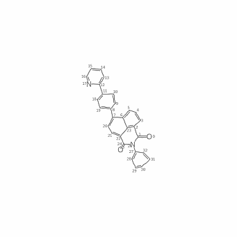 O=C1c2cccc3c(-c4ccc(-c5ccccn5)cc4)ccc(c23)C(=O)N1c1ccccc1